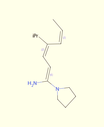 C\C=C/C(=C\C=C(/N)N1CCCC1)C(C)C